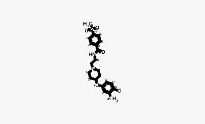 Cc1cc(OC2CCN(CCNC(=O)c3ccc(S(C)(=O)=O)cc3)CC2)ccc1Cl